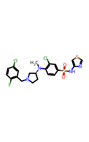 CN(c1ccc(S(=O)(=O)Nc2cscn2)cc1Cl)[C@H]1CCN(Cc2cc(Cl)ccc2F)C1